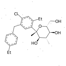 CCc1ccc(Cc2cc([C@]3(C)O[C@H](CO)[C@@H](O)[C@H](C)[C@H]3O)c(CC)cc2Cl)cc1